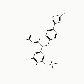 COC(=O)/N=C(\SC)C(Nc1ccc(-c2noc(C)n2)cc1)c1cc(OC)c(OC)c(O[Si](C(C)C)(C(C)C)C(C)C)c1